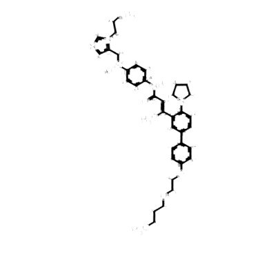 CCCCOCCOc1ccc(-c2ccc(N3CCCC3)c(C(C)=CC(=O)Nc3ccc([S+]([O-])Cc4cncn4CCC)cc3)c2)cc1